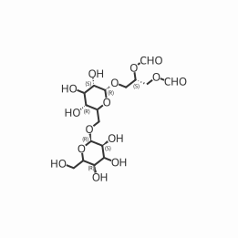 O=COC[C@H](CO[C@@H]1OC(CO[C@@H]2OC(CO)[C@H](O)C(O)[C@@H]2O)[C@H](O)C(O)[C@@H]1O)OC=O